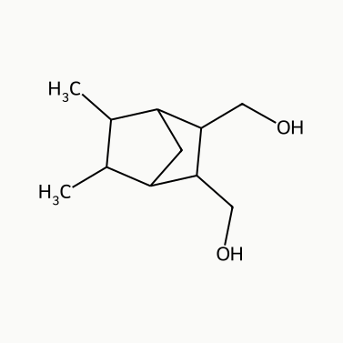 CC1C(C)C2CC1C(CO)C2CO